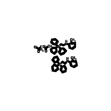 CC(=O)[O-].CC(=O)[O-].Cc1ccccc1NCC[P+](c1ccccc1)(c1ccccc1)c1ccccc1.Cc1ccccc1NCC[P+](c1ccccc1)(c1ccccc1)c1ccccc1